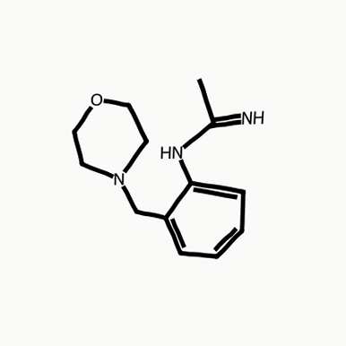 CC(=N)Nc1ccccc1CN1CCOCC1